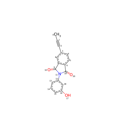 CC#Cc1ccc2c(c1)C(=O)N(c1cccc(O)c1)C2=O